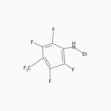 CCNc1c(F)c(F)c(C(F)(F)F)c(F)c1F